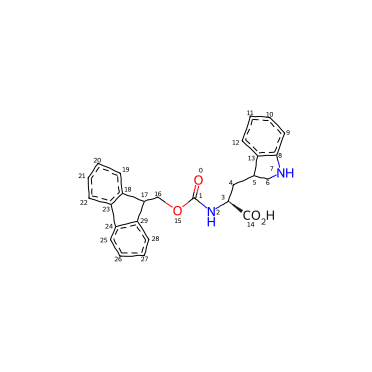 O=C(N[C@@H](CC1CNc2ccccc21)C(=O)O)OCC1c2ccccc2-c2ccccc21